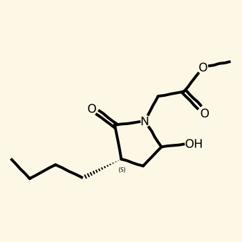 CCCC[C@H]1CC(O)N(CC(=O)OC)C1=O